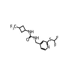 O=C(NCc1ccnc(SC(F)F)c1)NC1CC(C(F)(F)F)C1